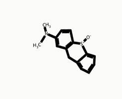 CN(C)c1ccc2c(c1)Cc1ccccc1[S+]2[O-]